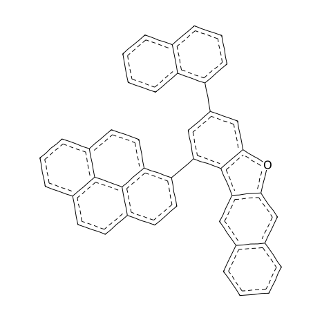 c1ccc2cc3c(cc2c1)oc1cc(-c2cccc4ccccc24)cc(-c2ccc4ccc5cccc6ccc2c4c56)c13